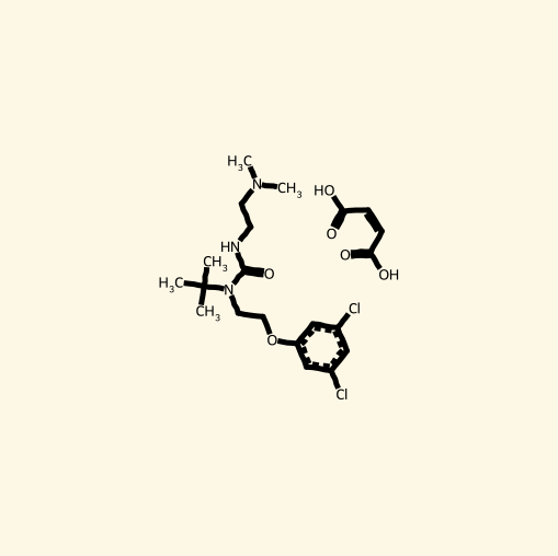 CN(C)CCNC(=O)N(CCOc1cc(Cl)cc(Cl)c1)C(C)(C)C.O=C(O)/C=C\C(=O)O